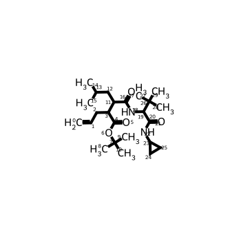 C=CCC(C(=O)OC(C)(C)C)C(CC(C)C)C(=O)NC(C(=O)NC1CC1)C(C)(C)C